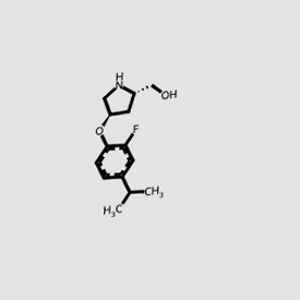 CC(C)c1ccc(O[C@H]2CN[C@H](CO)C2)c(F)c1